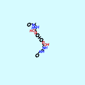 CC(CNCC(O)COc1ccc(C(C)(C)c2ccc(OCC(O)CNC(C)CNCc3ccccc3)cc2)cc1)NCc1ccccc1